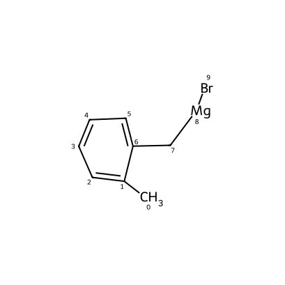 Cc1ccccc1[CH2][Mg][Br]